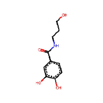 O=C(NCCCO)c1ccc(O)c(O)c1